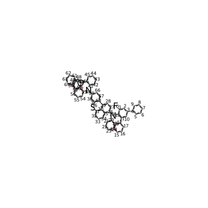 Fc1cc(-c2ccccc2)cc(-c2ccccc2)c1N(c1ccccc1)c1ccc2c3c(cccc13)Sc1cc(N(c3ccccc3-c3ccccc3)c3cccc4c3oc3ccccc34)ccc1-2